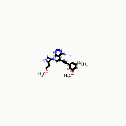 COC[CH]C1NCC1n1cc(C#Cc2cc(OC)cc(OC)c2)c2c(N)ncnc21